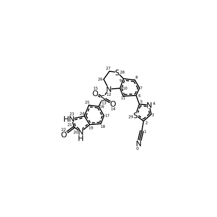 N#Cc1cnc(-c2ccc3c(c2)N(S(=O)(=O)c2ccc4[nH]c(=O)[nH]c4c2)CCS3)s1